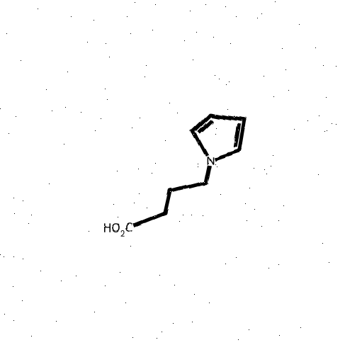 O=C(O)CCCn1cccc1